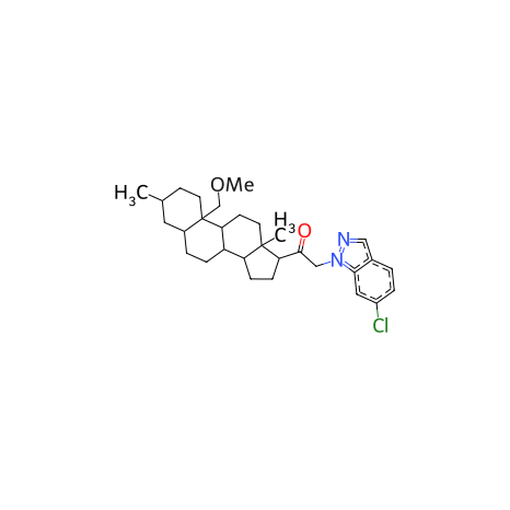 COCC12CCC(C)CC1CCC1C3CCC(C(=O)Cn4ncc5ccc(Cl)cc54)C3(C)CCC12